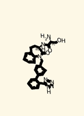 N[C@H](CO)C(=O)N[C@@H]1CCc2ccccc2N(Cc2ccc(-c3ccccc3-c3nnn[nH]3)cc2)C1=O